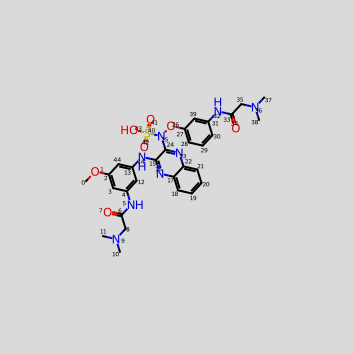 COc1cc(NC(=O)CN(C)C)cc(Nc2nc3ccccc3nc2N(Oc2cccc(NC(=O)CN(C)C)c2)S(=O)(=O)O)c1